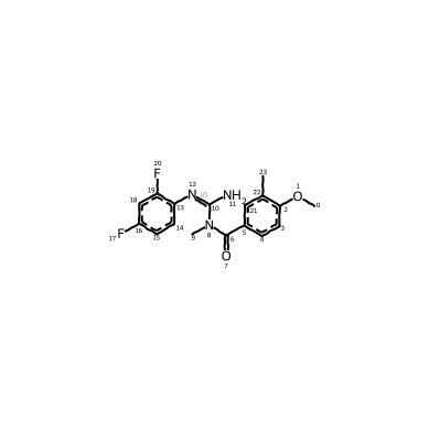 COc1ccc(C(=O)N(C)/C(N)=N\c2ccc(F)cc2F)cc1C